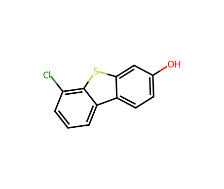 Oc1ccc2c(c1)sc1c(Cl)cccc12